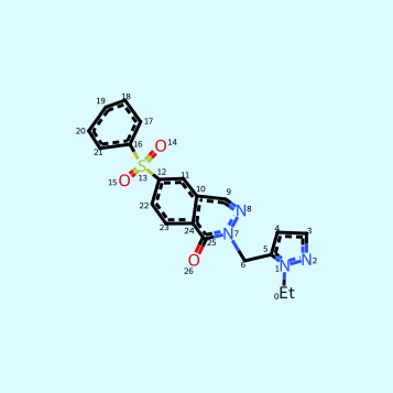 CCn1nccc1Cn1ncc2cc(S(=O)(=O)c3ccccc3)ccc2c1=O